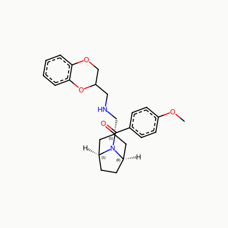 COc1ccc(C(=O)N2[C@@H]3CC[C@H]2C[C@H](CNCC2COc4ccccc4O2)C3)cc1